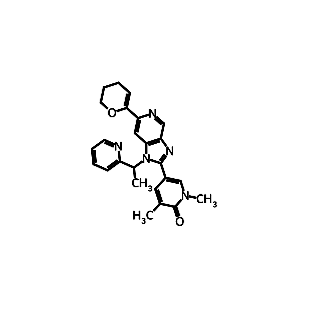 Cc1cc(-c2nc3cnc(C4=CCCCO4)cc3n2C(C)c2ccccn2)cn(C)c1=O